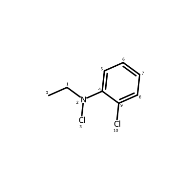 CCN(Cl)c1ccccc1Cl